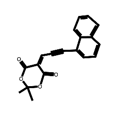 CC1(C)OC(=O)C(=CC#Cc2cccc3ccccc23)C(=O)O1